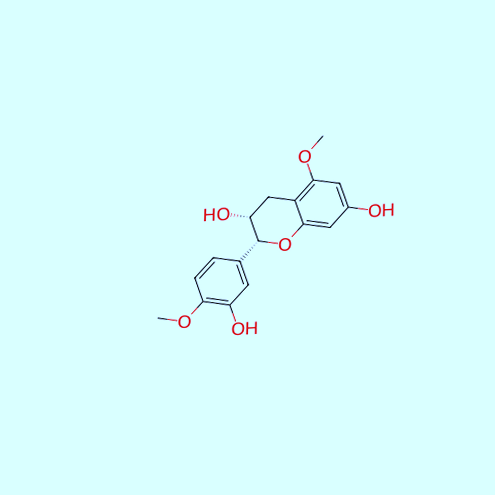 COc1ccc([C@H]2Oc3cc(O)cc(OC)c3C[C@H]2O)cc1O